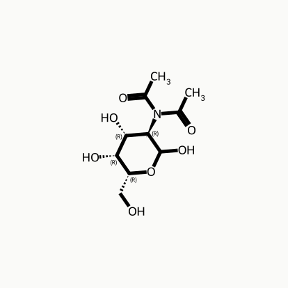 CC(=O)N(C(C)=O)[C@H]1C(O)O[C@H](CO)[C@H](O)[C@@H]1O